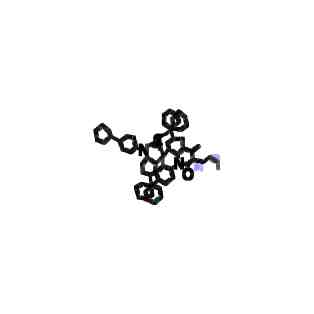 C=c1/c(=C\C=C/C)c(=O)n2c3c(cc(-c4ccccc4)cc13)C1(c3cc(-c4ccccc4)ccc3N(c3ccc(-c4ccccc4)cc3)c3ccc(-c4ccccc4)cc31)c1cc(-c3ccccc3)ccc1-2